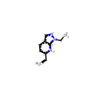 C=Cc1ccc2cnn(CC(F)(F)F)c2n1